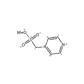 COS(=O)(=O)Cc1ccncc1